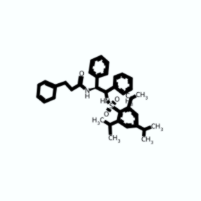 CC(C)c1cc(C(C)C)c(S(=O)(=O)NC(c2ccccc2)[C@@H](NC(=O)CCC2=CCC=CC2)c2ccccc2)c(C(C)C)c1